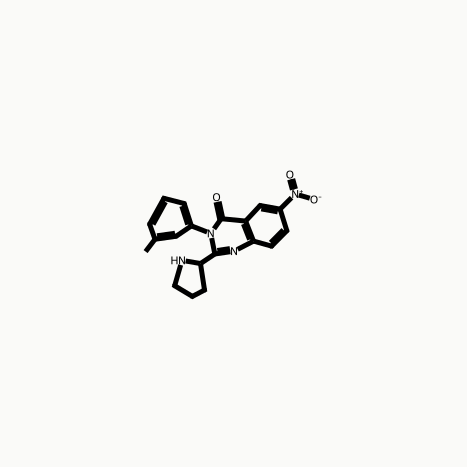 Cc1cccc(-n2c(C3CCCN3)nc3ccc([N+](=O)[O-])cc3c2=O)c1